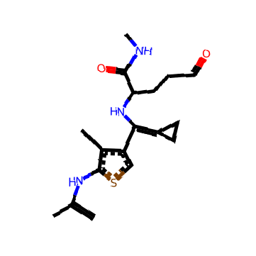 C=C(C)Nc1scc(C(NC(CCC=O)C(=O)NC)=C2CC2)c1C